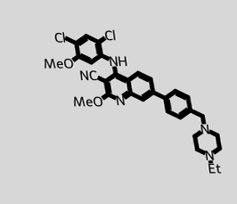 CCN1CCN(Cc2ccc(-c3ccc4c(Nc5cc(OC)c(Cl)cc5Cl)c(C#N)c(OC)nc4c3)cc2)CC1